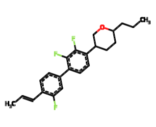 C/C=C/c1ccc(-c2ccc(C3CCC(CCC)OC3)c(F)c2F)cc1F